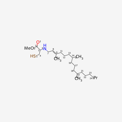 COC(=O)C(CS)NC/C=C(\C)CCCC(C)CCCC(C)CCCC(C)C